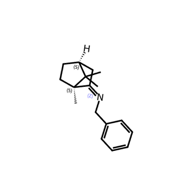 CC1(C)[C@H]2CC[C@]1(C)/C(=N\Cc1ccccc1)C2